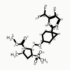 COC(=O)N1[C@H](C)C[C@H](S(C)(=O)=O)[C@H]1COC1CCC2(c3ncc(F)c(C(F)F)n3)CC2C1